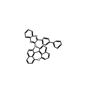 c1ccc(-c2ccc(-c3nc4ccccc4nc3-n3c4ccc5cccc6oc7cccc8ccc3c(c87)c4c56)cc2)cc1